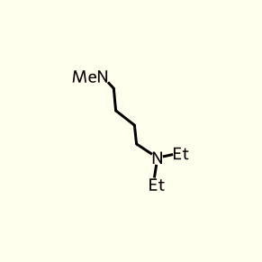 CCN(CC)CCCCNC